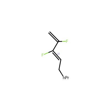 C=C(F)/C(F)=C/CCCC